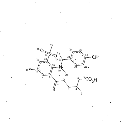 C=C(CCC(C)CC(=O)O)c1cc(F)cc(S(C)(=O)=O)c1N(C)C(C)c1ccc(Cl)cc1